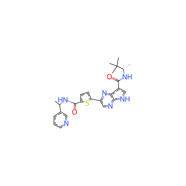 CC(NC(=O)c1ccc(-c2cnc3[nH]cc(C(=O)N[C@@H](C)C(C)(C)C)c3n2)s1)c1cccnc1